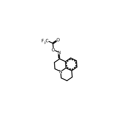 O=C(O/N=C1\CCN2CCCc3cccc1c32)C(F)(F)F